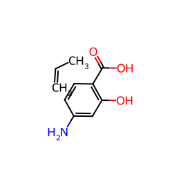 C=CC.Nc1ccc(C(=O)O)c(O)c1